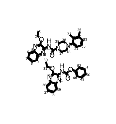 CCOc1nc2ccccc2nc1NC(=O)N1CCN(c2cccc(C)c2C)CC1.CCOc1nc2ccccc2nc1NC(=O)Oc1ccccc1